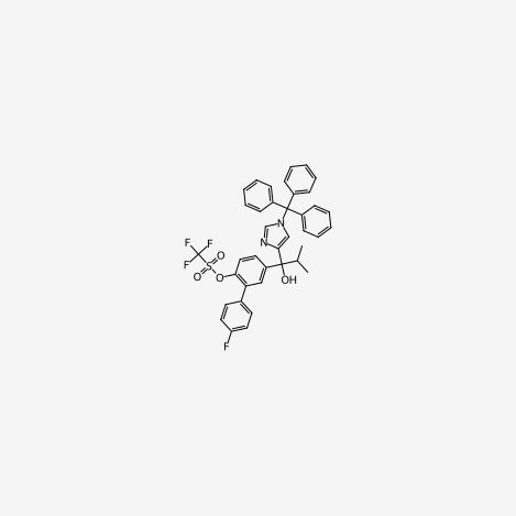 CC(C)C(O)(c1ccc(OS(=O)(=O)C(F)(F)F)c(-c2ccc(F)cc2)c1)c1cn(C(c2ccccc2)(c2ccccc2)c2ccccc2)cn1